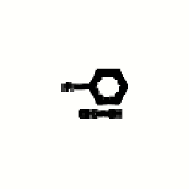 CCCc1ccccc1.O=CO